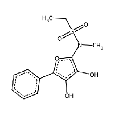 CCS(=O)(=O)N(C)c1oc(-c2ccccc2)c(O)c1O